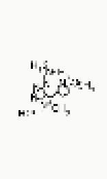 C#CCn1c(C)c(-c2ccc(OC)nc2)c2c(/N=C/N(C)C)ncnc21